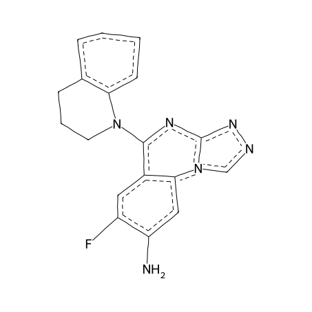 Nc1cc2c(cc1F)c(N1CCCc3ccccc31)nc1nncn12